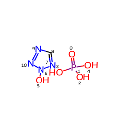 O=P(O)(O)O.On1ncnn1